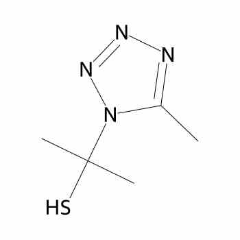 Cc1nnnn1C(C)(C)S